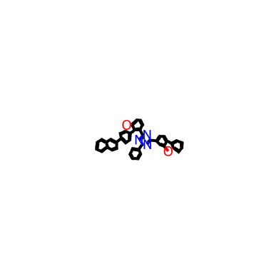 c1ccc(-c2nc(-c3ccc4c(c3)oc3ccccc34)nc(-c3cccc4oc5cc(-c6ccc7ccccc7c6)ccc5c34)n2)cc1